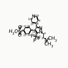 CN(C)CCn1nc(-c2ccncc2)c(-c2ccc(S(C)(=O)=O)cc2)c1C(F)(F)F